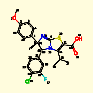 COc1ccc([C@]2(C)N=C3SC(C(=O)O)=C(C(C)C)N3[C@@H]2c2ccc(Cl)c(F)c2)cc1